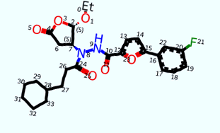 CCO[C@H]1OC(=O)C[C@@H]1N(NC(=O)c1ccc(-c2cccc(F)c2)o1)C(=O)CCC1CCCCC1